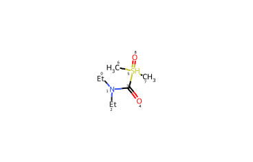 CCN(CC)C(=O)[SH](C)(C)=O